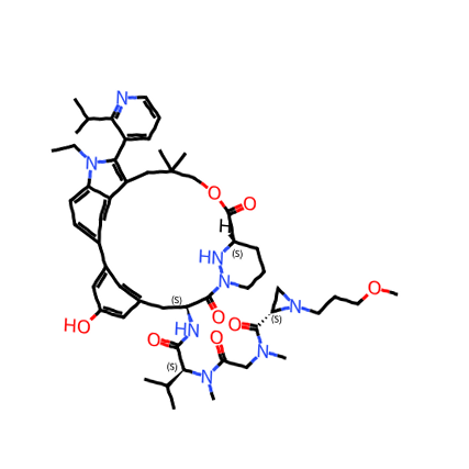 CCn1c(-c2cccnc2C(C)C)c2c3cc(ccc31)-c1cc(O)cc(c1)C[C@H](NC(=O)[C@H](C(C)C)N(C)C(=O)CN(C)C(=O)[C@@H]1CN1CCCOC)C(=O)N1CCC[C@H](N1)C(=O)OCC(C)(C)C2